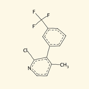 Cc1ccnc(Cl)c1-c1cccc(C(F)(F)F)c1